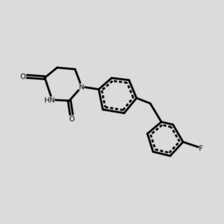 O=C1CCN(c2ccc(Cc3cccc(F)c3)cc2)C(=O)N1